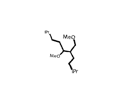 COCC(CCC(C)C)C(CCC(C)C)OC